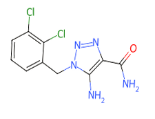 NC(=O)c1nnn(Cc2cccc(Cl)c2Cl)c1N